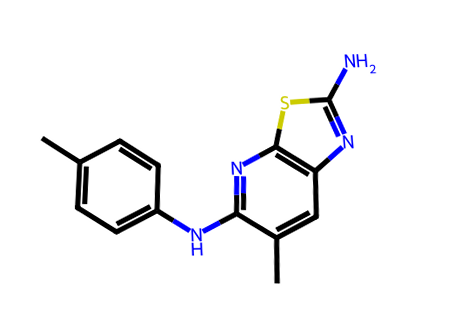 Cc1ccc(Nc2nc3sc(N)nc3cc2C)cc1